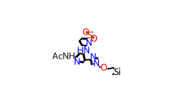 CC(=O)Nc1cc(Nc2cccc(S(C)(=O)=O)n2)c(-c2cn(COCC[Si](C)(C)C)cn2)cn1